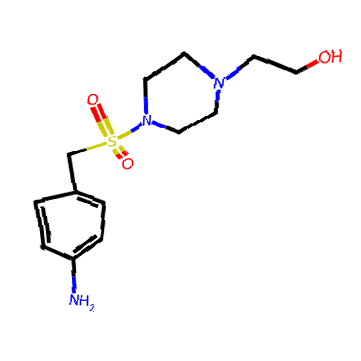 Nc1ccc(CS(=O)(=O)N2CCN(CCO)CC2)cc1